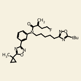 C=C(CCF)C(=O)N(CCCCCc1noc(C(C)(C)C)n1)c1cccc(-c2noc(C3(C)CC3)n2)c1